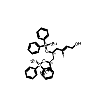 C=C[C@H](C[C@H](CC(I)=CCO)O[Si](c1ccccc1)(c1ccccc1)C(C)(C)C)O[Si](c1ccccc1)(c1ccccc1)C(C)(C)C